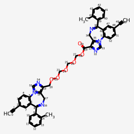 C#Cc1ccc2c(c1)C(c1ccccc1C)=NCc1c(COOCOCOCOC(=O)c3ncn4c3CN=C(c3ccccc3C)c3cc(C#C)ccc3-4)ncn1-2